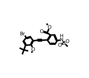 COC(=O)c1cc(NS(C)(=O)=O)ccc1C#Cc1cc(Br)cc(C(C)(C)C)c1OC